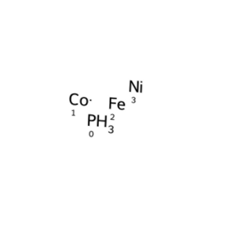 P.[Co].[Fe].[Ni]